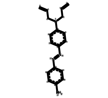 C=CCN(CC=C)c1ccc(N=Nc2ccc(N)cc2)cc1